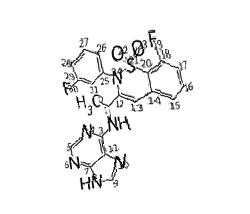 CC(Nc1ncnc2[nH]cnc12)C1=Cc2cccc(F)c2S(=O)(=O)N1c1cccc(F)c1